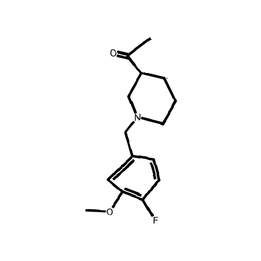 COc1cc(CN2CC[CH]C(C(C)=O)C2)ccc1F